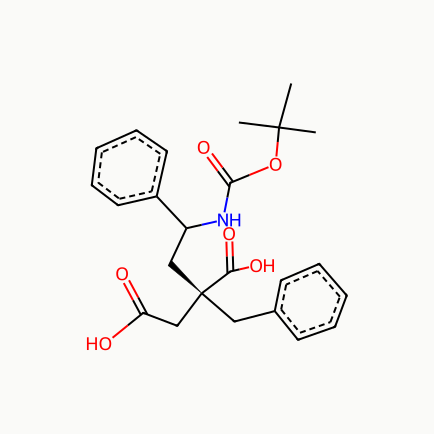 CC(C)(C)OC(=O)NC(C[C@](CC(=O)O)(Cc1ccccc1)C(=O)O)c1ccccc1